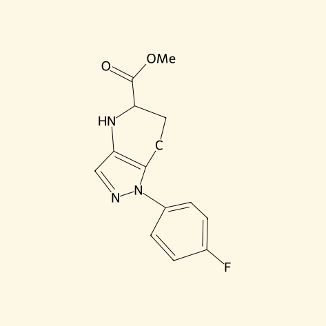 COC(=O)C1CCc2c(cnn2-c2ccc(F)cc2)N1